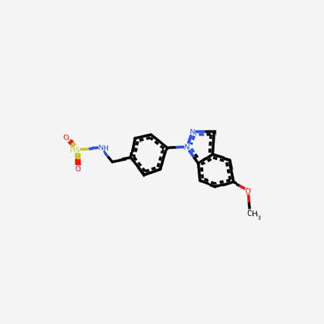 COc1ccc2c(cnn2-c2ccc(CN[SH](=O)=O)cc2)c1